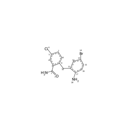 NC(=O)c1cc(Cl)ccc1[CH]c1cc(Br)ccc1N